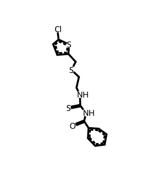 O=C(NC(=S)NCCSCc1ccc(Cl)s1)c1ccccc1